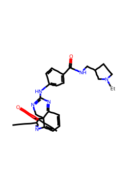 CCN1CCC(CNC(=O)c2ccc(NC3=NCC45CC(=O)C(C)C=NC4=CC=CC5=N3)cc2)C1